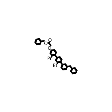 CCc1cc(-c2ccc(OCC(=O)OCc3ccccc3)cc2C(C)C)ccc1-c1cccc(Cc2ccccc2)c1